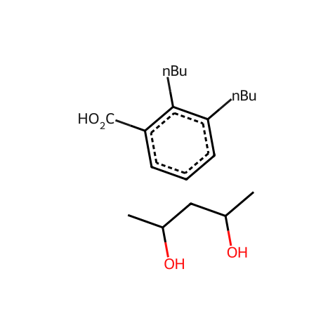 CC(O)CC(C)O.CCCCc1cccc(C(=O)O)c1CCCC